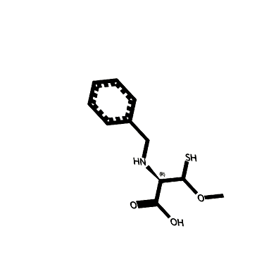 COC(S)[C@H](NCc1ccccc1)C(=O)O